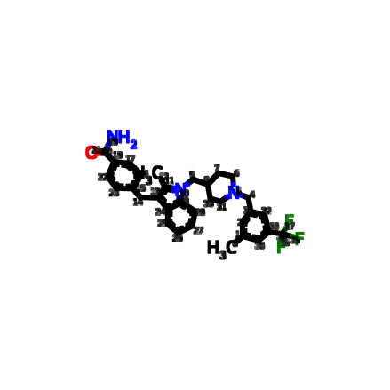 Cc1cc(CN2CCC(Cn3c(C)c(Cc4ccc(C(N)=O)cc4)c4ccccc43)CC2)cc(C(F)(F)F)c1